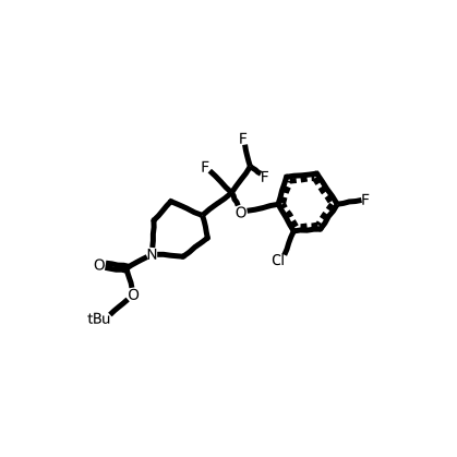 CC(C)(C)OC(=O)N1CCC(C(F)(Oc2ccc(F)cc2Cl)C(F)F)CC1